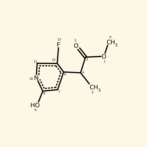 COC(=O)C(C)c1cc(O)ncc1F